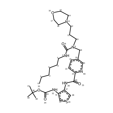 CCCCCCNC(=O)N(CCCN1CCOCC1)Cc1ccc(C(=O)Nc2cscc2NC(=O)OC(C)(C)C)nc1